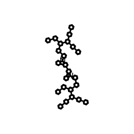 c1ccc(-c2ccc(-c3cc(-c4ccc(-c5ccccc5)cc4)cc(-c4cc(-c5cccc(-c6ccccc6)c5)cc(-c5cccc(-c6cccc(-n7c8ccccc8c8cc(-c9ccc%10c(c9)c9ccccc9n%10-c9cccc(-c%10cccc(-c%11cc(-c%12cccc(-c%13ccccc%13)c%12)cc(-c%12cc(-c%13ccc(-c%14ccccc%14)cc%13)cc(-c%13ccc(-c%14ccccc%14)cc%13)c%12)c%11)c%10)c9)ccc87)c6)c5)c4)c3)cc2)cc1